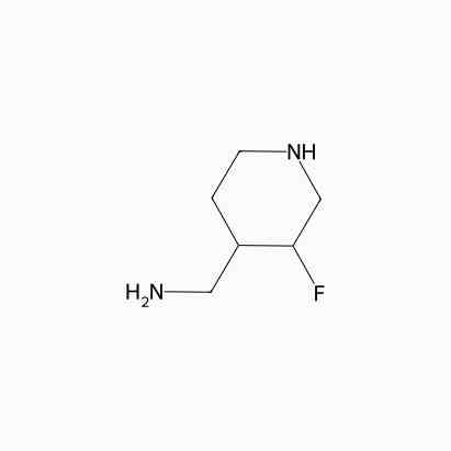 NCC1CCNCC1F